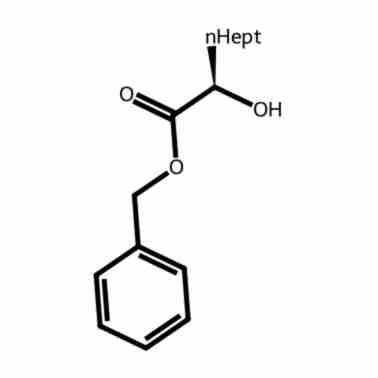 CCCCCCC[C@@H](O)C(=O)OCc1ccccc1